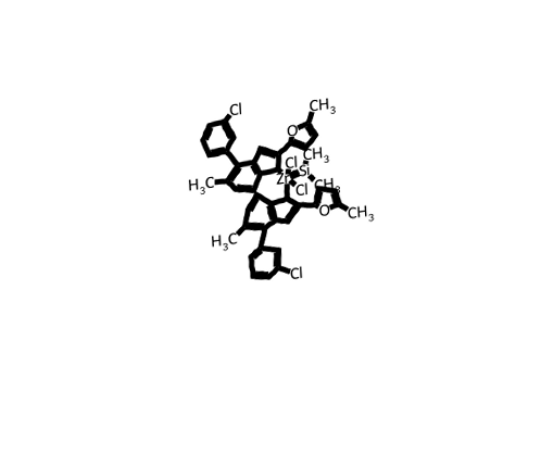 Cc1ccc(C2=Cc3c(ccc(C)c3-c3cccc(Cl)c3)[CH]2[Zr]([Cl])([Cl])([CH]2C(c3ccc(C)o3)=Cc3c2ccc(C)c3-c2cccc(Cl)c2)=[Si](C)C)o1